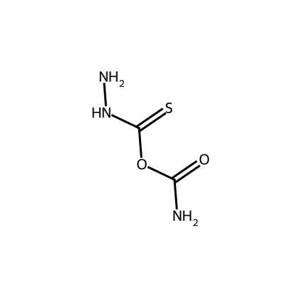 NNC(=S)OC(N)=O